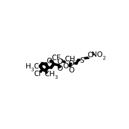 Cc1cc2c(c(C)c1Cl)C=C(C(=O)OC(C)OC(=O)OCCSCCO[N+](=O)[O-])C(C(F)(F)F)O2